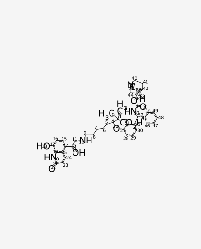 CC(C)(C(=O)O)C(CCCCCNC[C@@H](O)c1ccc(O)c2[nH]c(=O)ccc12)Oc1cccc(C(NC(=O)O[C@H]2CN3CCC2CC3)c2ccccc2)c1